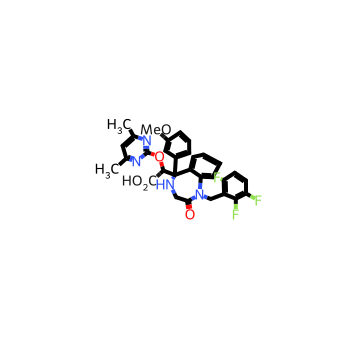 COc1cccc(C2(C(Oc3nc(C)cc(C)n3)C(=O)O)NCC(=O)N(Cc3c(F)ccc(F)c3F)c3ccccc32)c1